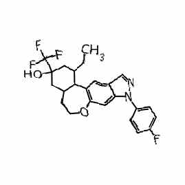 CCC1CC(O)(C(F)(F)F)CC2CCOc3cc4c(cnn4-c4ccc(F)cc4)cc3C12